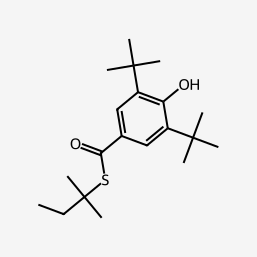 CCC(C)(C)SC(=O)c1cc(C(C)(C)C)c(O)c(C(C)(C)C)c1